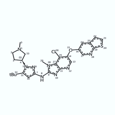 CN1CC[C@H](n2nc(Nc3nc4ncc(Oc5cnc6sccc6c5)c(Cl)c4n3C)cc2C(C)(C)C)C1